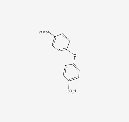 CCCCCCCc1ccc(Oc2ccc(S(=O)(=O)O)cc2)cc1